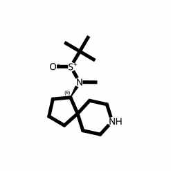 CN([C@@H]1CCCC12CCNCC2)[S+]([O-])C(C)(C)C